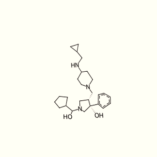 OC(C1CCCC1)N1C[C@H](CN2CCC(NCC3CC3)CC2)[C@@](O)(c2ccccc2)C1